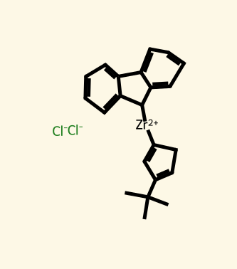 CC(C)(C)C1=CC[C]([Zr+2][CH]2c3ccccc3-c3ccccc32)=C1.[Cl-].[Cl-]